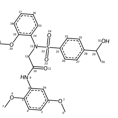 COc1ccc(OC)c(NC(=O)CN(c2ccccc2OC)S(=O)(=O)c2ccc(C(C)O)cc2)c1